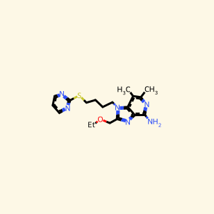 CCOCc1nc2c(N)nc(C)c(C)c2n1CCCCSc1ncccn1